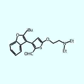 CCC(C)c1oc2ccccc2c1-c1cc(OCCN(CC)CC)sc1C=O